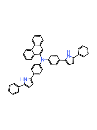 c1ccc(-c2ccc(-c3ccc(N(c4ccc(-c5ccc(-c6ccccc6)[nH]5)cc4)c4cc5ccccc5c5ccccc45)cc3)[nH]2)cc1